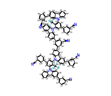 N#Cc1cccc(-c2cc(-n3c4ccccc4c4cc(-c5cccc(C#N)c5)ccc43)c(C(F)(F)F)c(-n3c4ccc(-c5cccc(C#N)c5)cc4c4cc(-c5cc(C#N)cc(-c6ccc7c8ccccc8n(-c8cc(-c9cccc(C#N)c9)cc(-n9c%10ccccc%10c%10ccc(-c%11cccc(C#N)c%11)cc%109)c8C(F)(F)F)c7c6)c5)ccc43)c2)c1